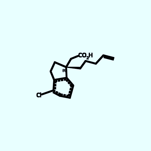 C=CCCC[C@]1(CC(=O)O)CCc2c(Cl)cccc21